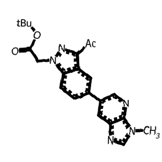 CC(=O)c1nn(CC(=O)OC(C)(C)C)c2ccc(-c3cnc4c(c3)ncn4C)cc12